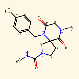 CC(C)NC(=O)N1CCC2(C1)C(=O)N(C(C)C)CC(=O)N2Cc1ccc(C(F)(F)F)cc1